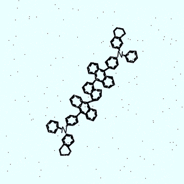 c1ccc(N(c2ccc(-c3c4ccccc4c(-c4cccc5c(-c6c7ccccc7c(-c7ccc(N(c8ccccc8)c8ccc9c(c8)CCCC9)cc7)c7ccccc67)cccc45)c4ccccc34)cc2)c2ccc3c(c2)CCCC3)cc1